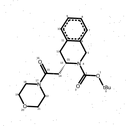 CC(C)(C)OC(=O)N1Cc2ccccc2C[C@H]1CC(=O)N1CCOCC1